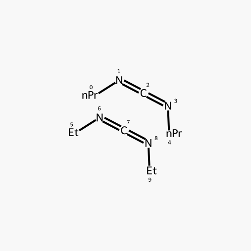 CCCN=C=NCCC.CCN=C=NCC